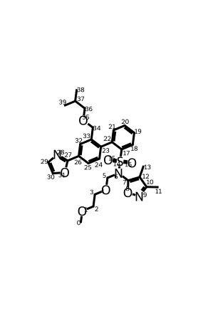 COCCOCN(c1onc(C)c1C)S(=O)(=O)c1ccccc1-c1ccc(-c2ncco2)cc1COCC(C)C